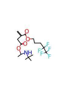 C=C(CC(=O)OC(C)NC(C)(C)C)C(=O)OCCCC(F)(F)C(F)(F)F